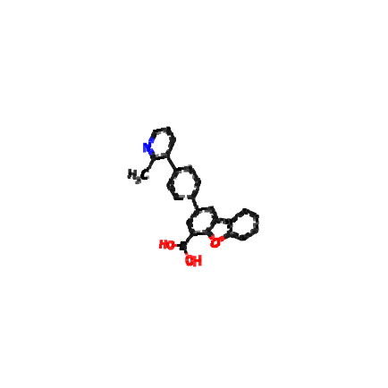 Cc1ncccc1-c1ccc(-c2cc(B(O)O)c3oc4ccccc4c3c2)cc1